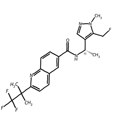 C[C@H](NC(=O)c1ccc2nc(C(C)(C)C(F)(F)F)ccc2c1)c1cnn(C)c1CF